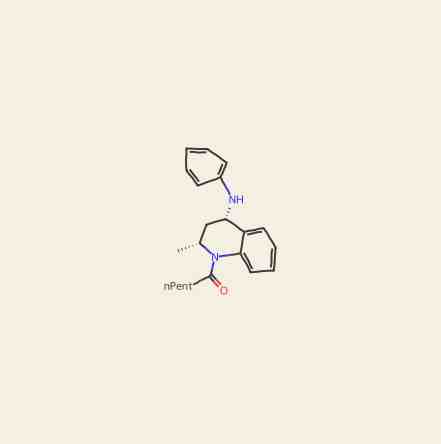 CCCCCC(=O)N1c2ccccc2[C@@H](Nc2ccccc2)C[C@H]1C